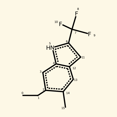 CCc1cc2[nH]c(C(F)(F)F)cc2cc1C